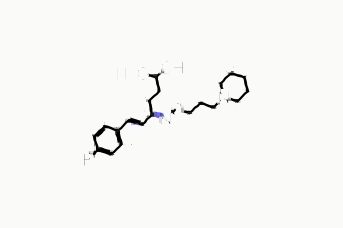 CC(C)CCC(/C=C/c1ccc(F)cc1)=N\OCCCN1CCCCC1